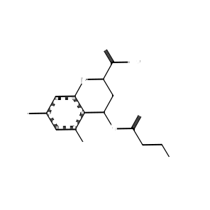 COC(=O)C1CC(NC(=O)CCC(=O)O)c2c(Cl)cc(Cl)cc2N1